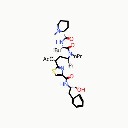 CCCN(C(=O)[C@@H](NC(=O)[C@H]1CCCCN1C)[C@@H](C)CC)[C@H](C[C@@H](OC(C)=O)c1nc(C(=O)N[C@H](CO)Cc2ccccc2)cs1)C(C)C